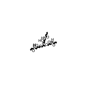 C=CC(=O)NCC(O)COCC(COCC(O)CNC(=O)C=C)OCC(O)CNC(=O)CCC